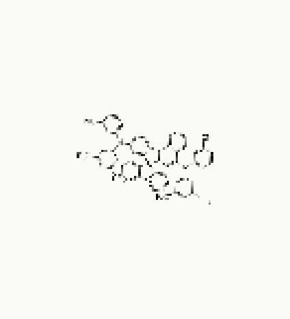 N#Cc1cccc(N(c2cc(C(F)(F)F)cc(C(F)(F)F)c2)c2ccc3c(c2)C2(c4ccccc4-c4ccccc42)c2cc(N(c4cccc(C#N)c4)c4cc(C(F)(F)F)cc(C(F)(F)F)c4)c4ccccc4c2-3)c1